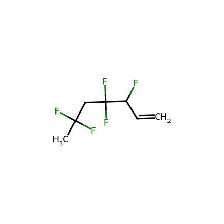 C=CC(F)C(F)(F)CC(C)(F)F